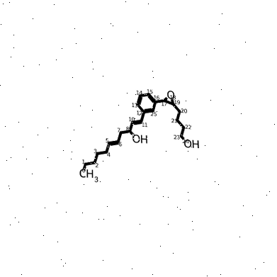 CCCCCC=CCC(O)C=Cc1cccc(C2OC2CCCCO)c1